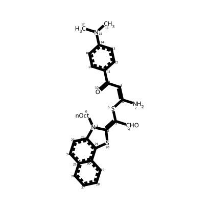 CCCCCCCCN1/C(=C(/C=O)S/C(N)=C\C(=O)c2ccc(N(C)C)cc2)Sc2c1ccc1ccccc21